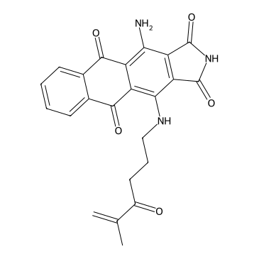 C=C(C)C(=O)CCCNc1c2c(=O)[nH]c(=O)c2c(N)c2c(=O)c3ccccc3c(=O)c12